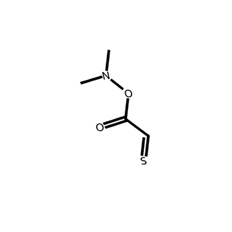 CN(C)OC(=O)C=S